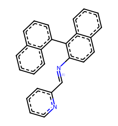 C(=N\c1ccc2ccccc2c1-c1cccc2ccccc12)/c1ccccn1